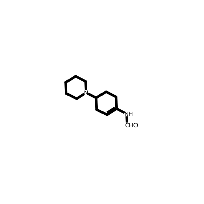 O=CNC1=CCC(N2CCCCC2)CC1